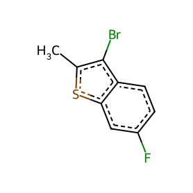 Cc1sc2cc(F)ccc2c1Br